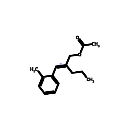 CCC/C(=C\c1ccccc1C)COC(C)=O